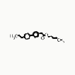 CCCCCOC(=O)Cc1ccc(C2CCC(CCC)CC2)cc1